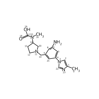 Cc1cn(-c2cc(N)cc(CN3CCC(N(C)C(=O)O)C3)c2)cn1